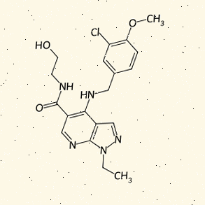 CCn1ncc2c(NCc3ccc(OC)c(Cl)c3)c(C(=O)NCCO)cnc21